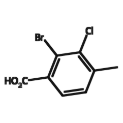 Cc1ccc(C(=O)O)c(Br)c1Cl